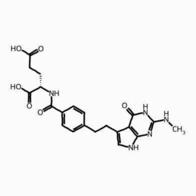 CNc1nc2[nH]cc(CCc3ccc(C(=O)N[C@@H](CCC(=O)O)C(=O)O)cc3)c2c(=O)[nH]1